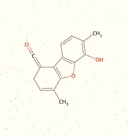 CC1=CCC(=C=O)c2c1oc1c(O)c(C)ccc21